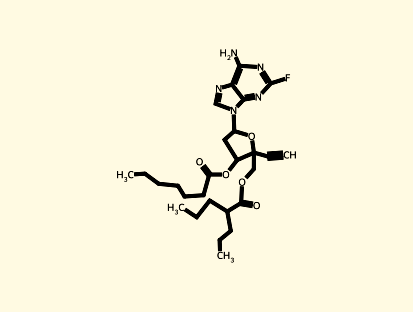 C#CC1(COC(=O)C(CCC)CCC)OC(n2cnc3c(N)nc(F)nc32)CC1OC(=O)CCCCCC